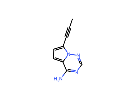 CC#Cc1ccc2c(N)ncnn12